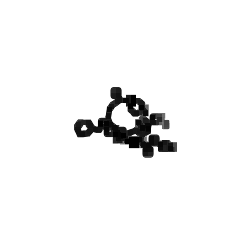 CC(C)(C)OC(=O)Nc1cc(C(F)(F)F)c2nc1-c1nnc(o1)C(OCc1ccccc1)(C(F)(F)F)CCCC(=O)N1CCN2CC1